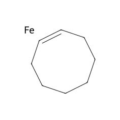 C1=C\CCCCCC/1.[Fe]